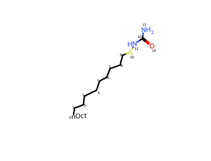 CCCCCCCCCCCCCCCCCSNC(N)=O